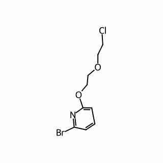 ClCCOCCOc1cccc(Br)n1